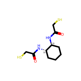 O=C(CS)N[C@H]1CCCC[C@@H]1NC(=O)CS